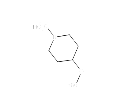 CCCCOC1CCN(C(=O)O)CC1